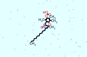 CCCCCCCCCCCC(=CC1(C)CCc2c(C)c(OC(=O)O)c(C)c(C)c2O1)[N+](=O)[O-]